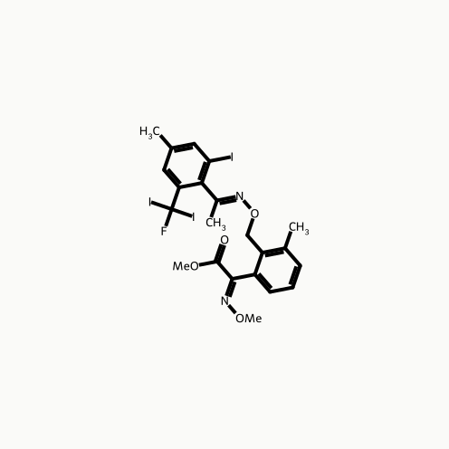 CO/N=C(/C(=O)OC)c1cccc(C)c1CO/N=C(\C)c1c(I)cc(C)cc1C(F)(I)I